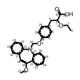 CCOC(Cc1ccc(OCN2c3ccccc3C=C(OC)c3ccccc32)cc1)C(=O)O